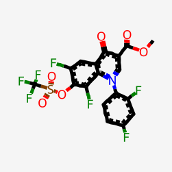 COC(=O)c1cn(-c2ccc(F)cc2F)c2c(F)c(OS(=O)(=O)C(F)(F)F)c(F)cc2c1=O